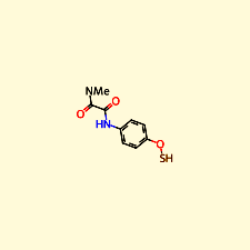 CNC(=O)C(=O)Nc1ccc(OS)cc1